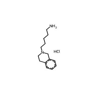 Cl.NCCCCCN1CCc2ccccc2C1